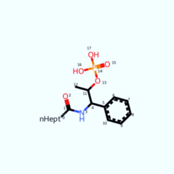 CCCCCCCC(=O)NC(c1ccccc1)C(C)OP(=O)(O)O